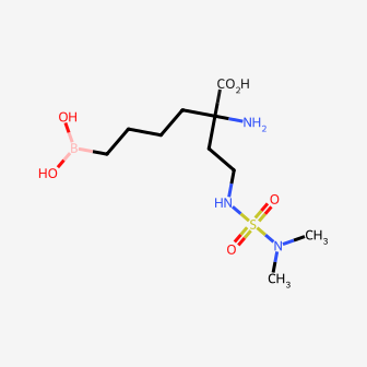 CN(C)S(=O)(=O)NCCC(N)(CCCCB(O)O)C(=O)O